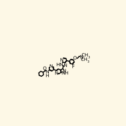 CN(C)CCOc1cc(F)cc(-c2ccnc3[nH]c(-c4n[nH]c5cnc(-c6cncc(NC(=O)C7CCCCC7)c6)cc45)nc23)c1